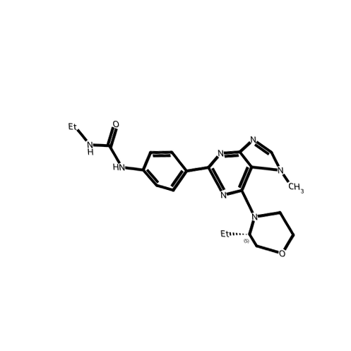 CCNC(=O)Nc1ccc(-c2nc(N3CCOC[C@@H]3CC)c3c(ncn3C)n2)cc1